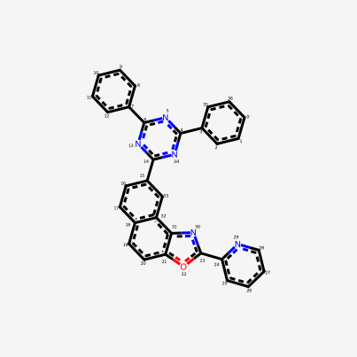 c1ccc(-c2nc(-c3ccccc3)nc(-c3ccc4ccc5oc(-c6ccccn6)nc5c4c3)n2)cc1